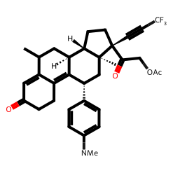 CNc1ccc([C@H]2C[C@@]3(C)[C@@H](CC[C@]3(C#CC(F)(F)F)C(=O)COC(C)=O)[C@@H]3CC(C)C4=CC(=O)CCC4=C32)cc1